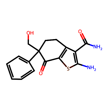 NC(=O)c1c(N)sc2c1CCC(CO)(c1ccccc1)C2=O